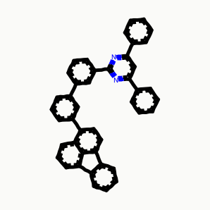 c1ccc(-c2cc(-c3ccccc3)nc(-c3cccc(-c4cccc(-c5ccc6c7c(cccc57)-c5ccccc5-6)c4)c3)n2)cc1